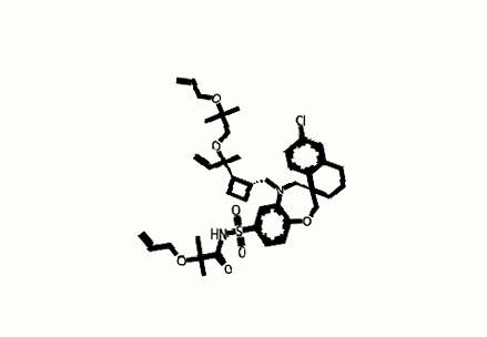 C=CCOC(C)(C)COC(C)(C=C)[C@@H]1CC[C@H]1CN1C[C@@]2(CCCc3cc(Cl)ccc32)COc2ccc(S(=O)(=O)NC(=O)C(C)(C)OCC=C)cc21